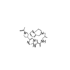 C=C(NCC(C)CN1CCc2ccccc2C1)c1cn2cc(C3CCN(C(=C)C)CC3)ncc2n1